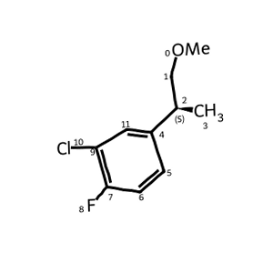 COC[C@@H](C)c1ccc(F)c(Cl)c1